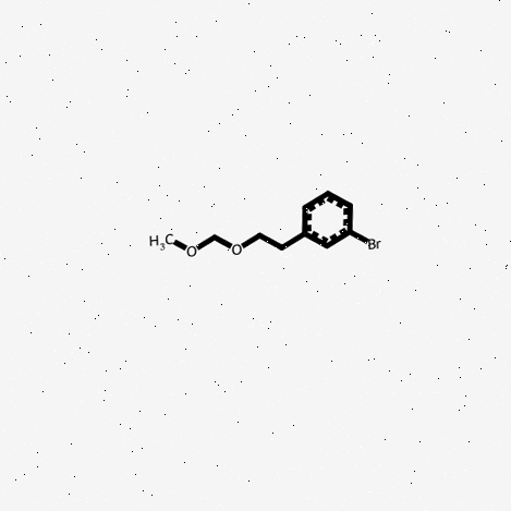 COCOCCc1cccc(Br)c1